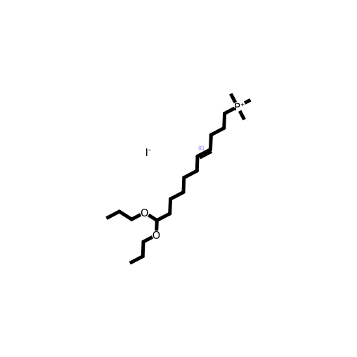 CCCOC(CCCCC/C=C/CCC[P+](C)(C)C)OCCC.[I-]